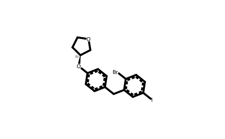 Brc1ccc(I)cc1Cc1ccc(O[C@H]2CCOC2)cc1